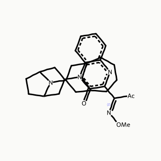 CO/N=C(\C(C)=O)c1nc2ccccc2n(C2CC3CCC(C2)N3C2CC3CCCCC(C3)C2)c1=O